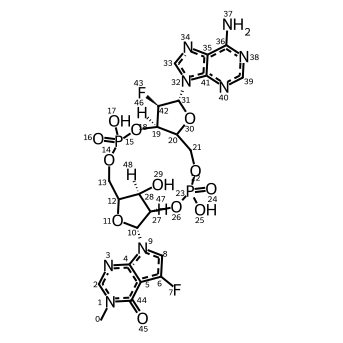 Cn1cnc2c(c(F)cn2[C@@H]2OC3COP(=O)(O)O[C@@H]4C(COP(=O)(O)O[C@@H]2[C@@H]3O)O[C@@H](n2cnc3c(N)ncnc32)[C@@H]4F)c1=O